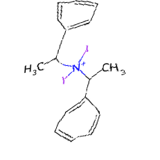 CC(c1ccccc1)[N+](I)(I)C(C)c1ccccc1